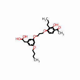 CCCCOc1cc(CC(O)O)cc(OCCCOc2ccc(C(C)=O)c(O)c2CCC)c1